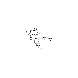 O=C(c1ccc(C(F)(F)F)nc1COCC1CC1)C1C(=O)C2CCC(C2)C1=O